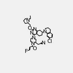 CCN1CCCC1COc1nc2c(c(N3CCN(C(=O)C=CF)C(CC#N)C3)n1)CCC(N1CCCc3ccc(Cl)cc31)C2